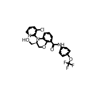 O=C(Nc1ccc(OC(F)(F)F)cc1)c1cccc2c1OC[C@@H](CO)N2c1ncccc1Cl